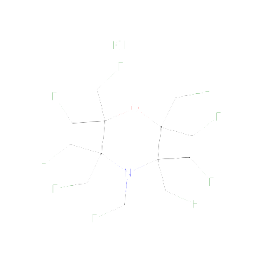 Cl.FCN1C(CF)(CF)C(CF)(CF)OC(CF)(CF)C1(CF)CF